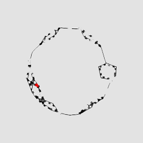 c1cc2ccc1C[n+]1ccc(cc1)-c1cc[n+](cc1)Cc1ccc(cc1)C[n+]1cc3ccc4c[n+](cc5ccc(c1)c3c45)C2